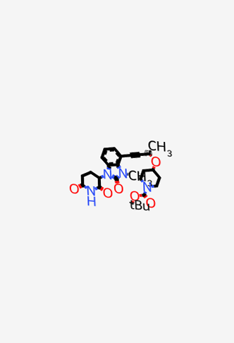 C[C@H](C#Cc1cccc2c1n(C)c(=O)n2C1CCC(=O)NC1=O)OC1CCN(C(=O)OC(C)(C)C)CC1